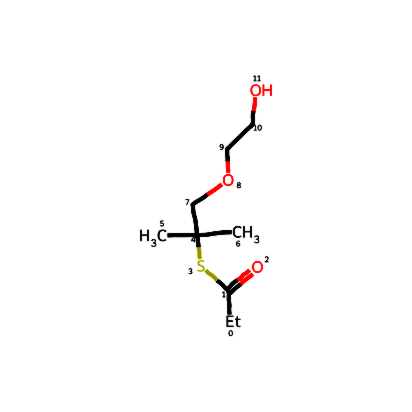 CCC(=O)SC(C)(C)COCCO